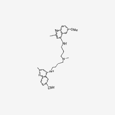 COc1ccc2nc(C)cc(NCCCCN(C)CCCNc3cc(C)nc4ccc(OC)cc34)c2c1